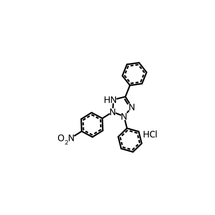 Cl.O=[N+]([O-])c1ccc(N2NC(c3ccccc3)=NN2c2ccccc2)cc1